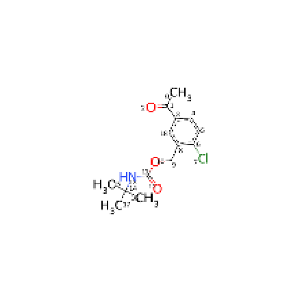 CC(=O)c1ccc(Cl)c(COC(=O)NC(C)(C)C)c1